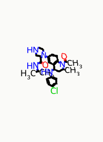 CC(=O)N1c2ccc(N3CCNCC3C(=O)NC(C)C)cc2C(Nc2ccc(Cl)cc2)CC1C